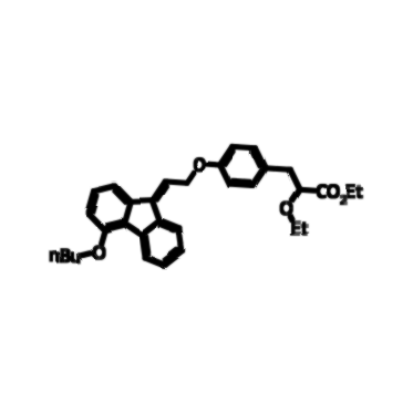 CCCCOc1cccc2c1-c1ccccc1C2=CCOc1ccc(CC(OCC)C(=O)OCC)cc1